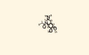 CCC(=O)N1C[C@H](N(C)C)Cc2cc(OC)c(OC)cc21